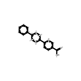 O=C(O)c1ccc(-c2nnc(-c3ccccc3)nn2)nc1